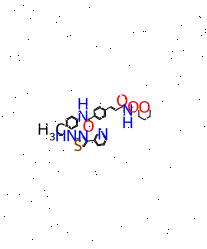 Cc1ccc(NC(=O)c2ccc(C=CC(=O)NOC3CCCCO3)cc2)cc1Nc1nc(-c2cccnc2)cs1